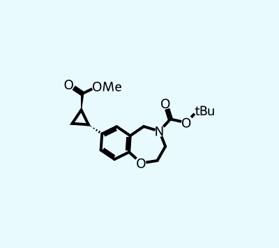 COC(=O)[C@@H]1C[C@H]1c1ccc2c(c1)CN(C(=O)OC(C)(C)C)CCO2